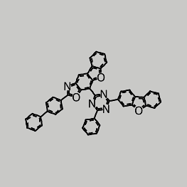 c1ccc(-c2ccc(-c3nc4cc5c(oc6ccccc65)c(-c5nc(-c6ccccc6)nc(-c6ccc7c(c6)oc6ccccc67)n5)c4o3)cc2)cc1